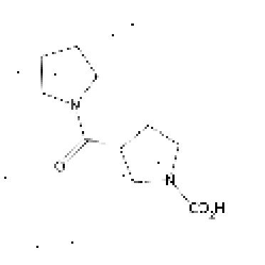 O=C(O)N1CC[C@@H](C(=O)N2CCCC2)C1